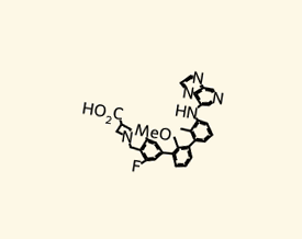 COc1cc(-c2cccc(-c3cccc(Nc4cncc5nccnc45)c3C)c2C)cc(F)c1CN1CC(C(=O)O)C1